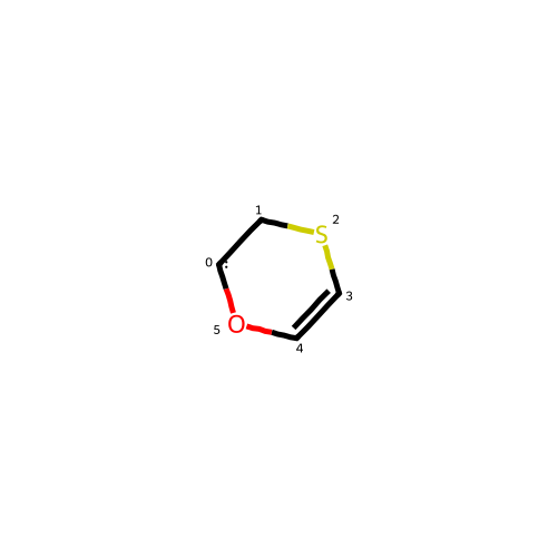 [C]1CSC=CO1